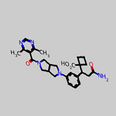 Cc1ncnc(C)c1C(=O)N1CC2CN(c3cccc(C(CC(N)=O)C4(C(=O)O)CCC4)c3)CC2C1